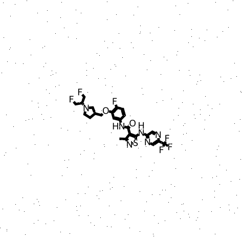 Cc1nsc(Nc2cnc(C(F)(F)F)cn2)c1C(=O)Nc1ccc(F)c(OCC2CCN(C(CF)CF)C2)c1